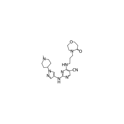 CN1CCC(n2cc(Nc3ncc(C#N)c(NCCCN4CCOCCC4=O)n3)cn2)CC1